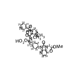 COC(=O)Cn1c(=O)n(-c2ccc(C[C@H](NC(=O)[C@H]3N(S(=O)(=O)c4cccnc4)CSC3(C)C)C(=O)O)cc2)c2ncccc21